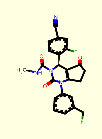 CNC(=O)N1C(=O)N(c2cccc(CF)c2)C2=C(C(=O)CC2)[C@@H]1c1ccc(C#N)cc1F